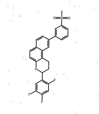 CS(=O)(=O)c1cccc(-c2ccc3ccc4c(c3c2)CCC(c2cc(F)c(F)cc2F)O4)c1